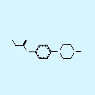 CC(=O)N1CCN(c2ccc(NC(=O)CCl)cc2)CC1